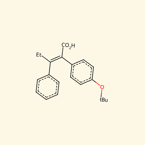 CCC(=C(C(=O)O)c1ccc(OC(C)(C)C)cc1)c1ccccc1